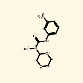 O=CN(C(=O)Nc1cccc([N+](=O)[O-])c1)C1COCCO1